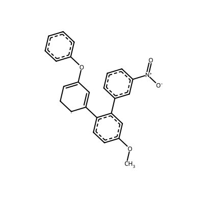 COc1ccc(C2=CC(Oc3ccccc3)=CC[CH]2)c(-c2cccc([N+](=O)[O-])c2)c1